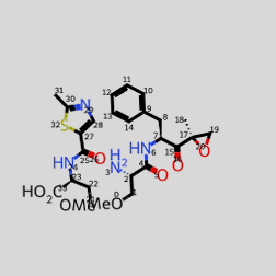 COC[C@H](N)C(=O)N[C@@H](Cc1ccccc1)C(=O)[C@@]1(C)CO1.COC[C@H](NC(=O)c1cnc(C)s1)C(=O)O